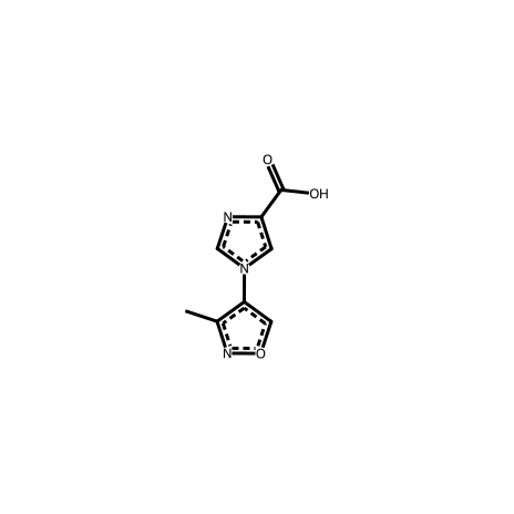 Cc1nocc1-n1cnc(C(=O)O)c1